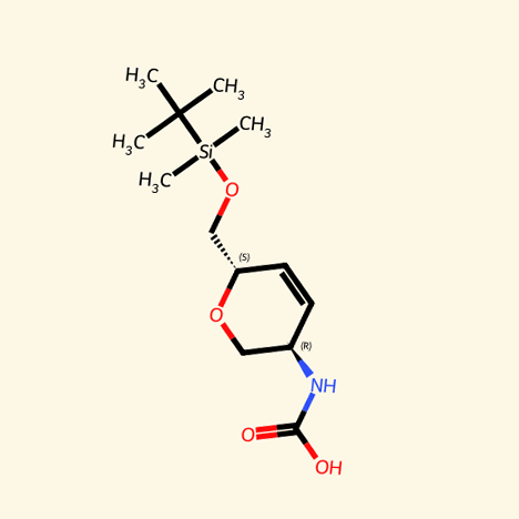 CC(C)(C)[Si](C)(C)OC[C@@H]1C=C[C@@H](NC(=O)O)CO1